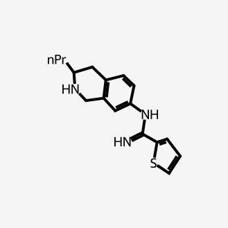 CCCC1Cc2ccc(NC(=N)c3cccs3)cc2CN1